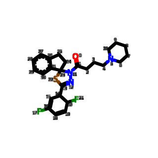 O=C(CCCN1CCCCC1)N1N=C(C2C=C(F)C=CC2F)SC12CCc1ccccc12